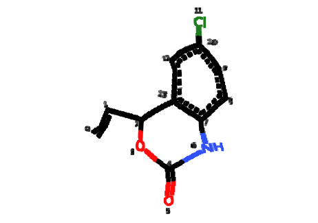 C=CC1OC(=O)Nc2ccc(Cl)cc21